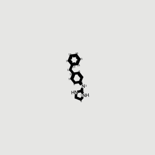 C1=CC(=NC2NCCN2)CC=C1Cc1ccccc1